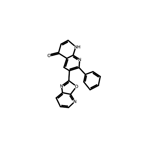 O=c1cc[nH]c2nc(-c3ccccc3)c(-c3nc4cccnc4o3)cc12